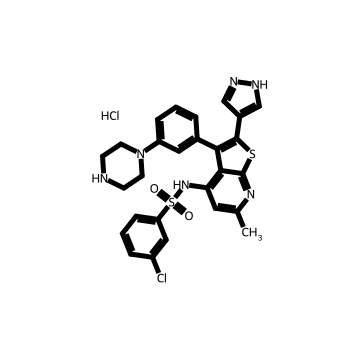 Cc1cc(NS(=O)(=O)c2cccc(Cl)c2)c2c(-c3cccc(N4CCNCC4)c3)c(-c3cn[nH]c3)sc2n1.Cl